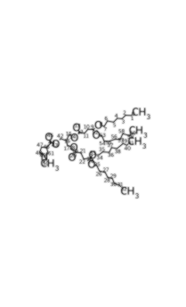 CCCCCCCCOC(CCC(=O)OCC(COC(=O)CCC(OCCCCCCCC)OCCCCCCCC)COC(=O)C1CCN(C)C1)OCCCCCCCC